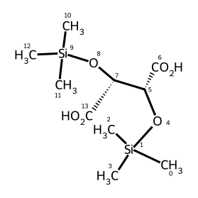 C[Si](C)(C)O[C@@H](C(=O)O)[C@@H](O[Si](C)(C)C)C(=O)O